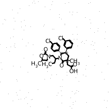 CCC(CN1CC(C)OC1=O)N1C(=O)[C@@](C)(CC(=O)O)C[C@H](c2cccc(Cl)c2)[C@H]1c1ccc(Cl)cc1